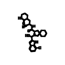 N#CC(CC1CCCNC1=O)NC(=O)C1CC2(CCCCC2)CN1C(O)c1cc2cccc(Cl)c2[nH]1